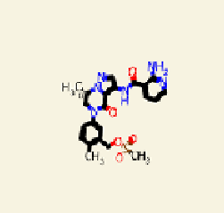 Cc1ccc(N2C[C@H](C)n3ncc(NC(=O)c4cccnc4N)c3C2=O)cc1COS(C)(=O)=O